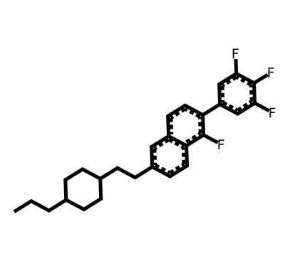 CCCC1CCC(CCc2ccc3c(F)c(-c4cc(F)c(F)c(F)c4)ccc3c2)CC1